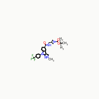 Cn1cc2c3cc(C(=O)NCC4CN(C(=O)OC(C)(C)C)C4)ccc3n(-c3ccc(C(F)(F)F)cc3)c2n1